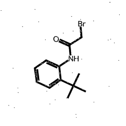 CC(C)(C)c1ccccc1NC(=O)CBr